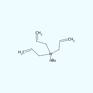 C=CC[N+](CC=C)(CC=C)CCCC